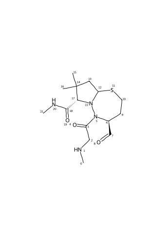 CNCC(=O)N1[C@H](C=O)CCSC2CC(C)(C)[C@@H](C(=O)NC)N21